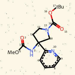 COC(=O)NC1(c2ccccn2)CCN(C(=O)OC(C)(C)C)C1